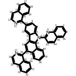 c1ccc2nc(-n3c4ccc(-c5nccc6ccccc56)cc4c4cc(-c5nccc6ccccc56)c5ccccc5c43)ccc2c1